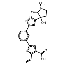 CN1CCC(O)(c2cc(-c3cccc(-c4nc(C(=O)O)c(C=O)s4)c3)no2)C1=O